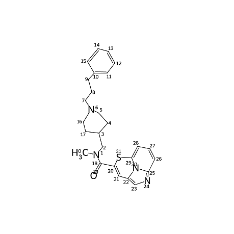 CN(CC1CCN(CCCc2ccccc2)CC1)C(=O)C1=Cc2cnc3cccc(n23)S1